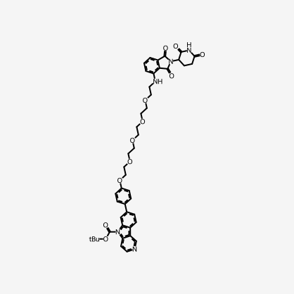 CC(C)(C)OC(=O)n1c2ccncc2c2ccc(-c3ccc(OCCOCCOCCOCCOCCNc4cccc5c4C(=O)N(C4CCC(=O)NC4=O)C5=O)cc3)cc21